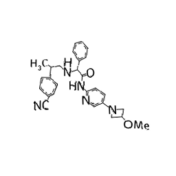 COC1CN(c2ccc(NC(=O)C(NCC(C)c3ccc(C#N)cc3)c3ccccc3)nc2)C1